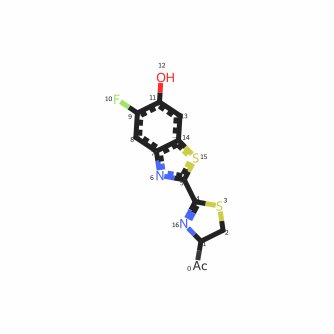 CC(=O)C1CSC(c2nc3cc(F)c(O)cc3s2)=N1